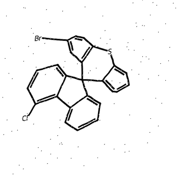 Clc1cccc2c1-c1ccccc1C21c2ccccc2Sc2ccc(Br)cc21